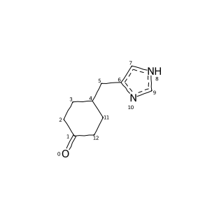 O=C1CCC(Cc2c[nH]cn2)CC1